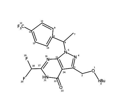 CCCCOCc1nn(C(C)c2ccc(C(F)(F)F)cc2)c2nc(C(F)F)[nH]c(=O)c12